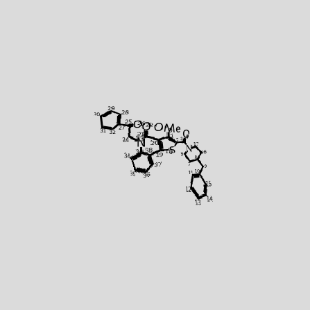 COc1c(C(=O)N2CCC(Cc3ccccc3)CC2)sc2c1c(=O)n(CC(=O)c1ccccc1)c1ccccc21